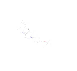 CC[C@@H](C)C1CC2=C(CCN(C3CCN([C@@H](C)OC(C)(C)C)CC3)[C@@H]2C)N[C@H]1CC